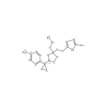 CCOCC1(CCc2ccc(F)s2)CCN(C2(c3ccc(C)nc3)CC2)C1